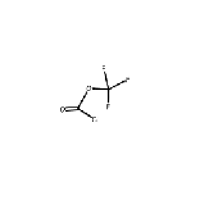 O=C(Cl)OC(F)(F)F